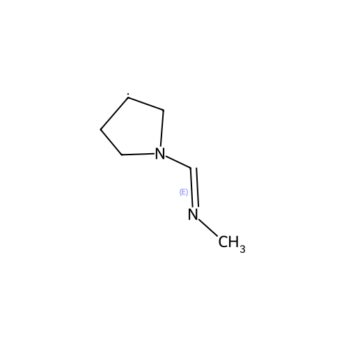 C/N=C/N1C[CH]CC1